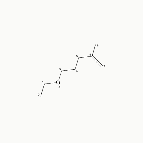 [CH2]COCCCC(=C)C